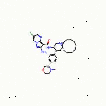 CN1CCOC[C@@H]1c1ccc(C2CC3(CCCCCCCCC3)NCC2NC(=O)c2c(N)nn3cc(F)cnc23)cc1